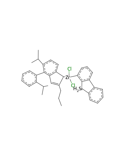 CCCC1=Cc2c(ccc(C(C)C)c2-c2ccccc2C(C)C)[CH]1[Zr]([Cl])([Cl])[c]1cccc2c1[SiH2]c1ccccc1-2